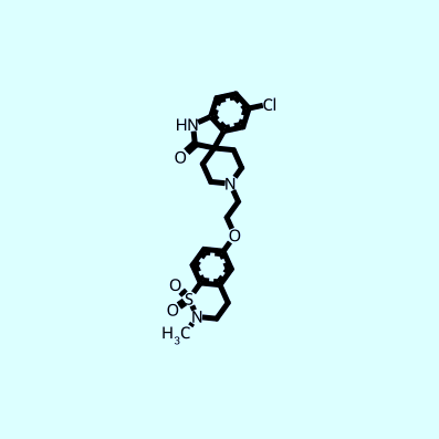 CN1CCc2cc(OCCN3CCC4(CC3)C(=O)Nc3ccc(Cl)cc34)ccc2S1(=O)=O